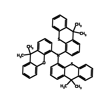 CC1(C)c2ccccc2Oc2c(N(c3cccc4c3Sc3ccccc3C4(C)C)c3cccc4c3Sc3ccccc3C4(C)C)cccc21